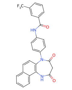 O=C1CC(=O)N(c2ccc(NC(=O)c3cccc(C(F)(F)F)c3)cc2)c2ccc3ccccc3c2N1